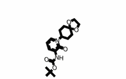 CC(C)(C)OC(=O)Nc1cccn(C2CCC3(CC2)OCCO3)c1=O